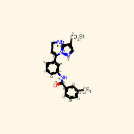 CCOC(=O)c1cnn2c1NCC=C2c1cccc(NC(=O)c2cccc(C(F)(F)F)c2)c1